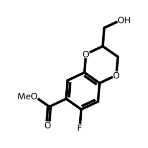 COC(=O)c1cc2c(cc1F)OCC(CO)O2